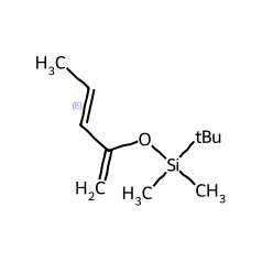 C=C(/C=C/C)O[Si](C)(C)C(C)(C)C